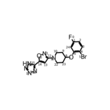 Fc1ccc(Br)c(OC2CCN(c3cc(-c4nnn[nH]4)on3)CC2)c1